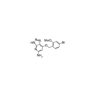 COc1cc(Br)ccc1COc1cc(N)nc2[nH]nnc12